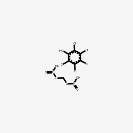 O=[PH](O)OCO[PH](=O)O.Oc1c(Cl)c(Cl)c(Cl)c(Cl)c1Cl